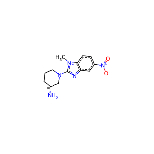 Cn1c(N2CCC[C@@H](N)C2)nc2cc([N+](=O)[O-])ccc21